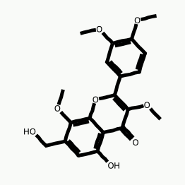 COc1ccc(-c2oc3c(OC)c(CO)cc(O)c3c(=O)c2OC)cc1OC